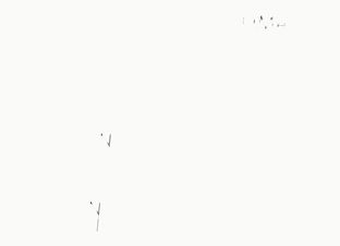 COCCCCN1CCNC1